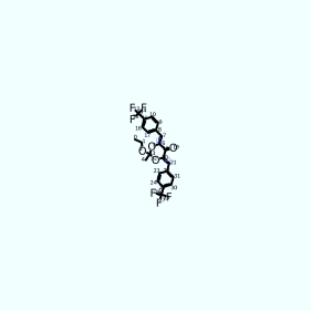 CCOC1(C)O/C(=C\c2ccc(C(F)(F)F)cc2)C(=O)/C(=C/c2ccc(C(F)(F)F)cc2)O1